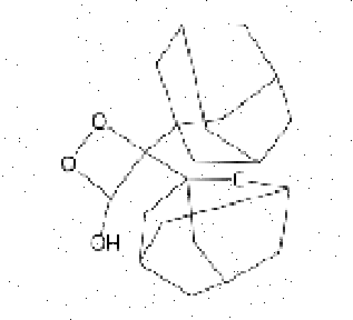 OC1OOC1(C12CC3CC(CC(C3)C1)C2)C12CC3CC(CC(C3)C1)C2